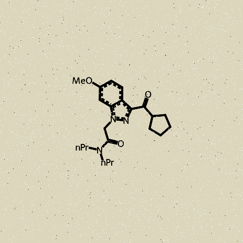 CCCN(CCC)C(=O)Cn1nc(C(=O)C2CCCC2)c2ccc(OC)cc21